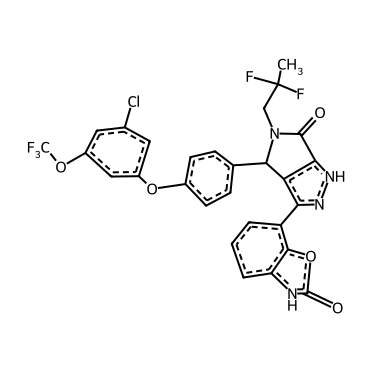 CC(F)(F)CN1C(=O)c2[nH]nc(-c3cccc4[nH]c(=O)oc34)c2C1c1ccc(Oc2cc(Cl)cc(OC(F)(F)F)c2)cc1